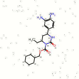 CCC1CC(c2ccc(N)c(N)c2)NC(=O)N1C(=O)OCC1CCCCC1